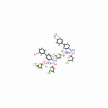 O=S(=O)(Nc1ccc(-c2ccc(OC(F)(F)F)cc2)cc1NS(=O)(=O)c1ccc(Cl)s1)c1ccc(Cl)s1.O=S(=O)(Nc1ccc(-c2cccc(Br)c2)cc1NS(=O)(=O)c1ccc(Cl)s1)c1ccc(Cl)s1